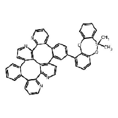 C[Si]1(C)Oc2cccc(-c3ccc4c(c3)c3ccnc5c3-c3c(ccnc3c3ncccc43)c3ccccc3c3cccnc53)c2Oc2ccccc21